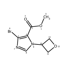 COC(=O)c1c(Br)ncn1C1COC1